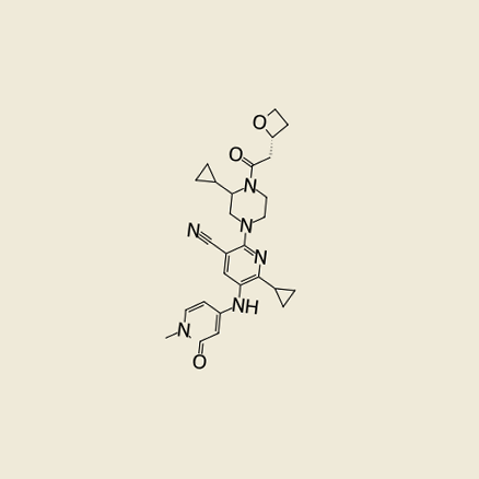 CN(C)/C=C\C(=C/C=O)Nc1cc(C#N)c(N2CCN(C(=O)C[C@H]3CCO3)C(C3CC3)C2)nc1C1CC1